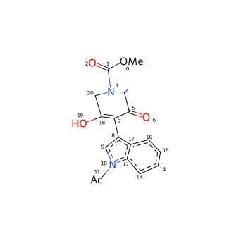 COC(=O)N1CC(=O)C(c2cn(C(C)=O)c3ccccc23)=C(O)C1